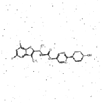 Cc1c([C@@H](NC(=O)Nc2cnc(N3CCC(O)CC3)nc2)C(F)(F)F)oc2c(F)cc(F)cc12